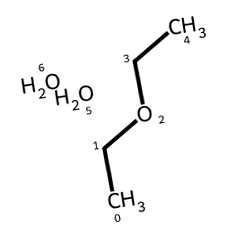 CCOCC.O.O